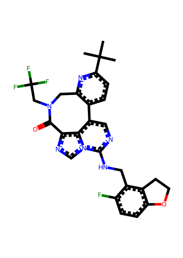 CC(C)(C)c1ccc2c(n1)CN(CC(F)(F)F)C(=O)c1ncn3c(NCc4c(F)ccc5c4CCO5)ncc-2c13